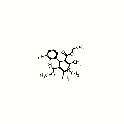 CCOC(=O)C1=C(C)N(C)C(C)=C(C(=O)OC)C1c1cccc(Cl)c1Cl